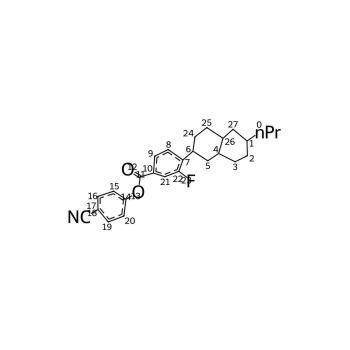 CCCC1CCC2CC(c3ccc(C(=O)Oc4ccc(C#N)cc4)cc3F)CCC2C1